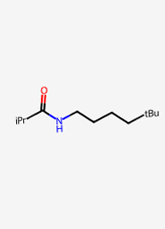 CC(C)C(=O)NCCCCC(C)(C)C